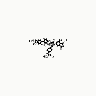 Cc1cc(C(=O)NC(C)C)ccc1-c1ccc(C[C@H](NC(=O)C2CCC(CN)CC2)C(=O)Nc2cc(C(=O)O)c3cn[nH]c3c2)cc1.Cl